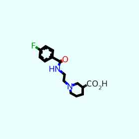 O=C(NCCN1CCCC(C(=O)O)C1)c1ccc(F)cc1